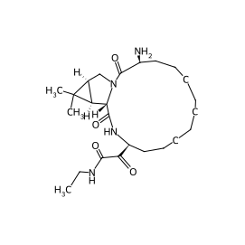 CCNC(=O)C(=O)[C@@H]1CCCCCCCCC[C@H](N)C(=O)N2C[C@H]3[C@@H]([C@H]2C(=O)N1)C3(C)C